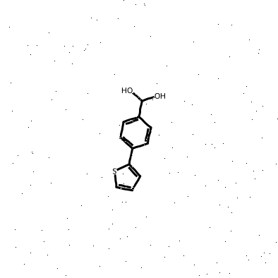 OC(O)c1ccc(-c2cccs2)cc1